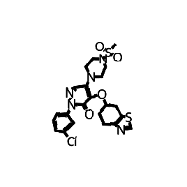 CS(=O)(=O)N1CCN(c2cnn(-c3cccc(Cl)c3)c(=O)c2OC2CCc3ncsc3C2)CC1